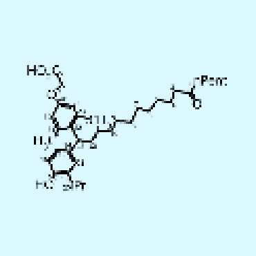 CCCCCC(=O)CCCCCCCCCCC(c1ccc(O)c(C(C)C)c1)c1c(C)cc(OCC(=O)O)cc1C